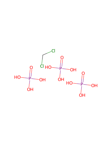 ClCCl.O=P(O)(O)O.O=P(O)(O)O.O=P(O)(O)O